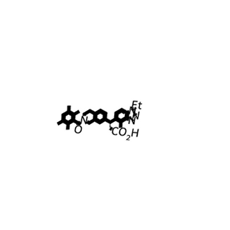 CCn1nnc2c(C)c([C@H](CC(=O)O)c3ccc4c(c3)CN(C(=O)c3c(C)c(C)cc(C)c3C)CC4)ccc21